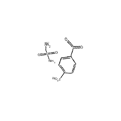 NS(N)(=O)=O.O=I(=O)c1ccc(S(=O)(=O)O)cc1